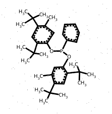 Cc1cc(OP(Oc2cc(C)c(C(C)(C)C)cc2C(C)(C)C)c2ccccc2)c(C(C)(C)C)cc1C(C)(C)C